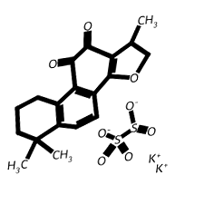 CC1COC2=C1C(=O)C(=O)c1c2ccc2c1CCCC2(C)C.O=S([O-])S(=O)(=O)[O-].[K+].[K+]